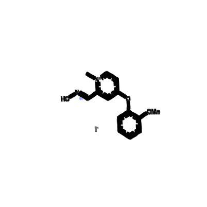 COc1ccccc1Oc1cc[n+](C)c(/C=N/O)c1.[I-]